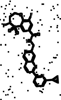 O=C(NCc1cc2nc(-c3cccc(C4CC4)n3)ccc2cn1)c1cc(F)c2c(c1)S(=O)(=O)[C@@H](F)CCO2